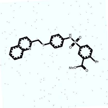 COC(=O)c1cc(S(=O)(=O)Nc2ccc(SCc3ccc4ccccc4n3)cc2)ccc1C(C)C